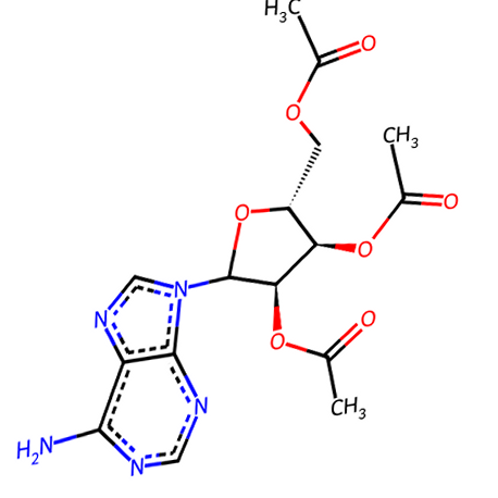 CC(=O)OC[C@H]1OC(n2cnc3c(N)ncnc32)[C@H](OC(C)=O)[C@@H]1OC(C)=O